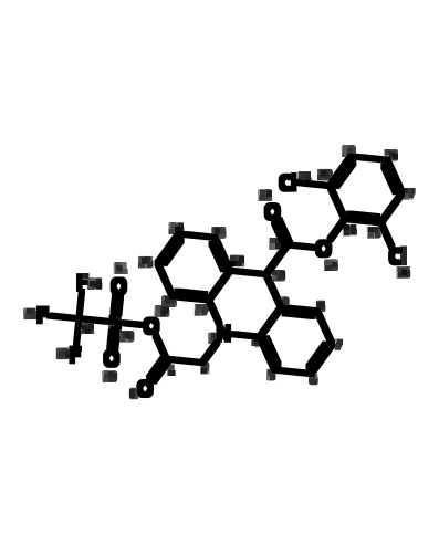 O=C(CN1c2ccccc2C(C(=O)Oc2c(Cl)cccc2Cl)c2ccccc21)OS(=O)(=O)C(F)(F)F